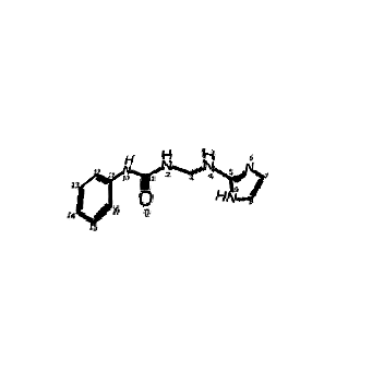 O=C(NCNc1ncc[nH]1)Nc1ccccc1